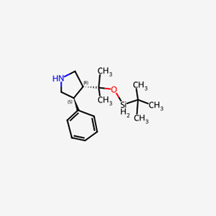 CC(C)(C)[SiH2]OC(C)(C)[C@H]1CNC[C@@H]1c1ccccc1